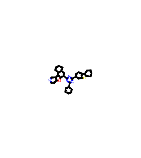 c1ccc(-c2nc(-c3ccc4c(c3)sc3ccccc34)nc(-c3cc4ccccc4c4c3oc3ccncc34)n2)cc1